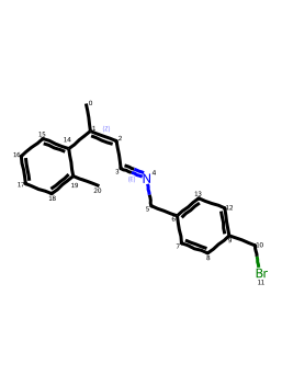 C/C(=C/C=N/Cc1ccc(CBr)cc1)c1ccccc1C